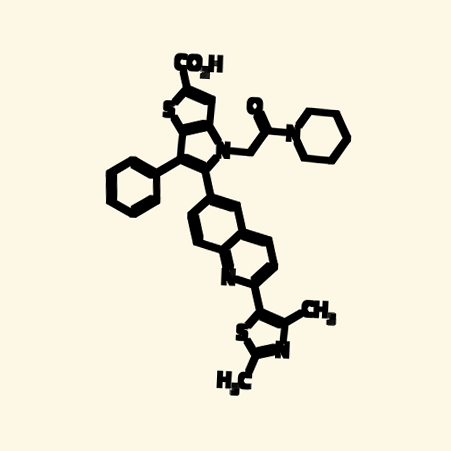 Cc1nc(C)c(-c2ccc3cc(-c4c(-c5ccccc5)c5sc(C(=O)O)cc5n4CC(=O)N4CCCCC4)ccc3n2)s1